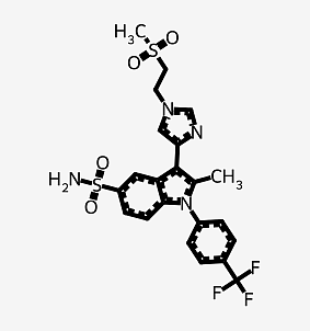 Cc1c(-c2cn(CCS(C)(=O)=O)cn2)c2cc(S(N)(=O)=O)ccc2n1-c1ccc(C(F)(F)F)cc1